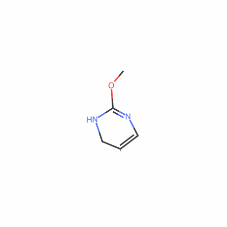 COC1=NC=[C]CN1